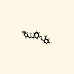 Clc1ccc(COc2cccc(CNCC3CCNC3)c2)c(Br)c1